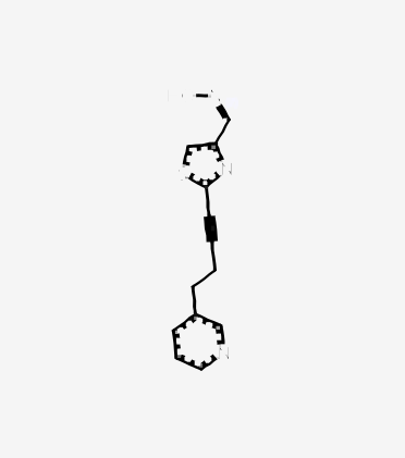 O/N=C\c1csc(C#CCCc2cccnc2)n1